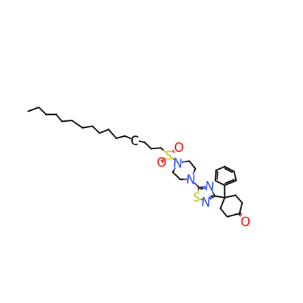 CCCCCCCCCCCCCCCCS(=O)(=O)N1CCN(c2nc(C3(c4ccccc4)CCC(=O)CC3)ns2)CC1